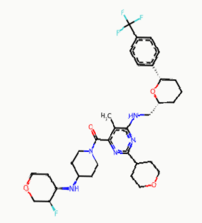 Cc1c(NC[C@H]2CCC[C@@H](c3ccc(C(F)(F)F)cc3)O2)nc(C2CCOCC2)nc1C(=O)N1CCC(N[C@@H]2CCOC[C@@H]2F)CC1